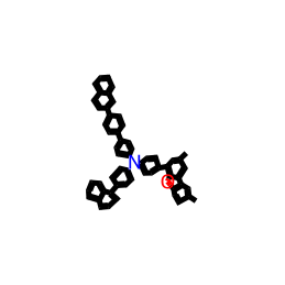 Cc1ccc2oc3c(-c4ccc(N(c5ccc(-c6ccc(-c7ccc8ccccc8c7)cc6)cc5)c5ccc(-c6cccc7ccccc67)cc5)cc4)cc(C)cc3c2c1